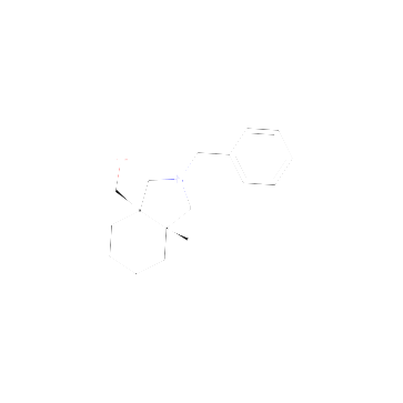 OC[C@]12CCCC[C@H]1CN(Cc1ccccc1)C2